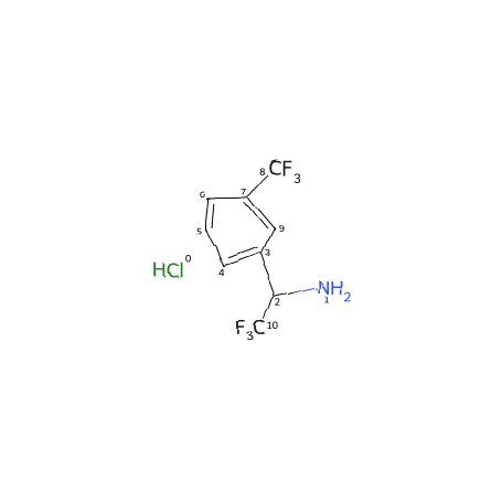 Cl.NC(c1cccc(C(F)(F)F)c1)C(F)(F)F